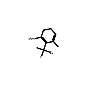 CCC(C)(F)C1=C(SC)CCC=C1C